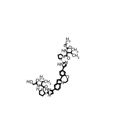 COC(=O)N[C@H](C(=O)N1CCC[C@H]1c1ncc(-c2ccc3c(c2)OCCn2c-3cc3cc(-c4cnc([C@@H]5CCCN5C(=O)[C@@H](NC(=O)CO)C(C)C)[nH]4)ccc32)[nH]1)C(C)C